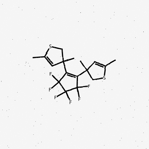 CC1=CC(C)(C2=C(C3(C)C=C(C)SC3)C(F)(F)C(F)(F)C2(F)F)CS1